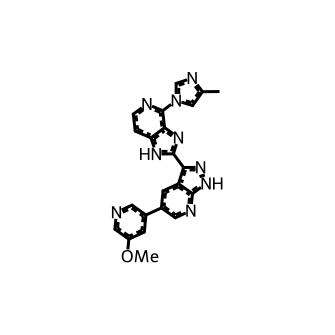 COc1cncc(-c2cnc3[nH]nc(-c4nc5c(-n6cnc(C)c6)nccc5[nH]4)c3c2)c1